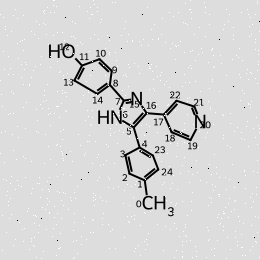 Cc1ccc(-c2[nH]c(-c3ccc(O)cc3)nc2-c2ccncc2)cc1